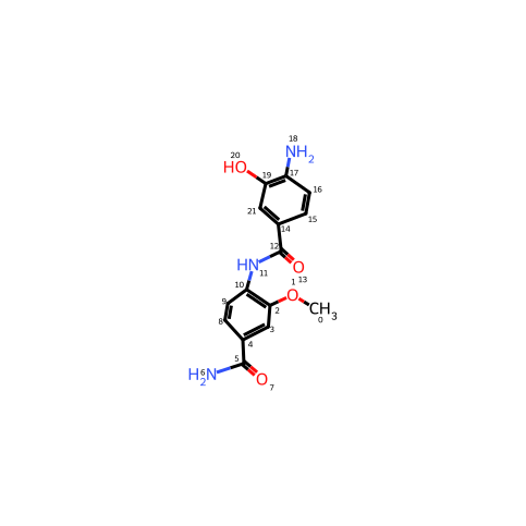 COc1cc(C(N)=O)ccc1NC(=O)c1ccc(N)c(O)c1